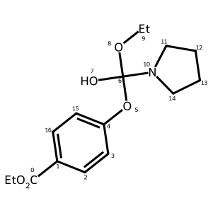 CCOC(=O)c1ccc(OC(O)(OCC)N2CCCC2)cc1